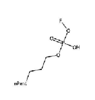 CCCCCCCCOP(=O)(O)OF